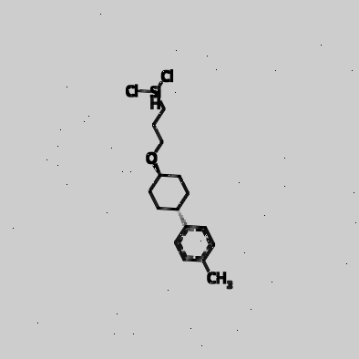 Cc1ccc([C@H]2CC[C@H](OCCC[SiH](Cl)Cl)CC2)cc1